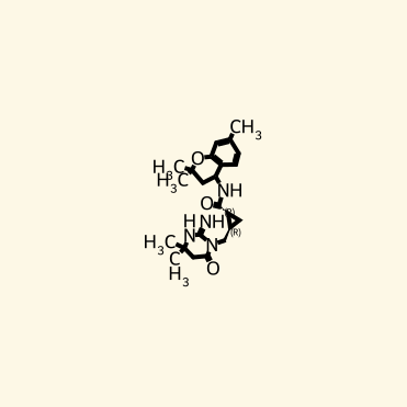 Cc1ccc2c(c1)OC(C)(C)CC2NC(=O)[C@@H]1C[C@H]1CN1C(=N)NC(C)(C)CC1=O